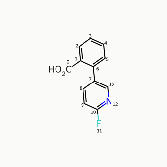 O=C(O)c1ccccc1-c1ccc(F)nc1